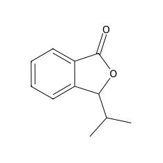 CC(C)C1OC(=O)c2ccccc21